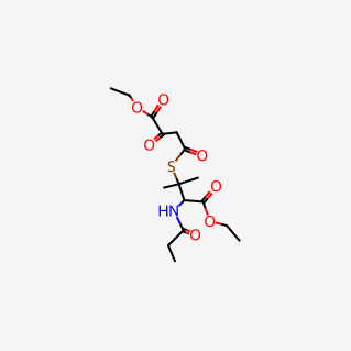 CCOC(=O)C(=O)CC(=O)SC(C)(C)C(NC(=O)CC)C(=O)OCC